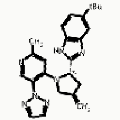 C=C1C[C@@H](c2nc3cc(C(C)(C)C)ccc3[nH]2)N(c2cc(C)n[c]c2-n2nccn2)C1